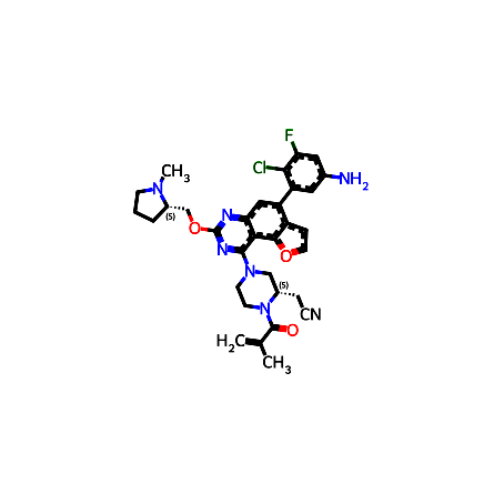 C=C(C)C(=O)N1CCN(c2nc(OC[C@@H]3CCCN3C)nc3cc(-c4cc(N)cc(F)c4Cl)c4ccoc4c23)C[C@@H]1CC#N